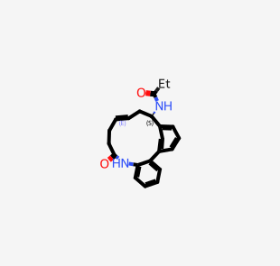 CCC(=O)N[C@H]1C/C=C/CCC(=O)Nc2ccccc2-c2cccc1c2